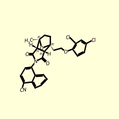 C[C@]12CC[C@](CCOc3ccc(Cl)cc3Cl)(O1)[C@@H]1C(=O)N(c3ccc(C#N)c4ccccc34)C(=O)[C@@H]12